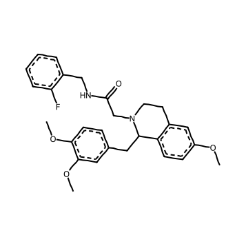 COc1ccc2c(c1)CCN(CC(=O)NCc1ccccc1F)C2Cc1ccc(OC)c(OC)c1